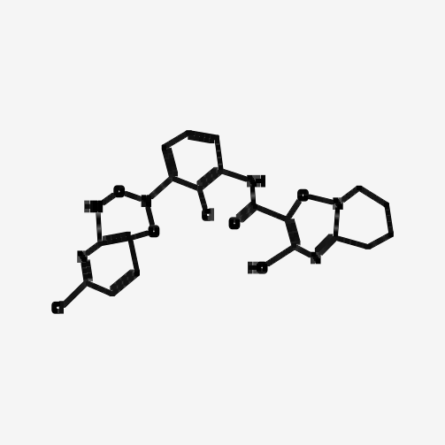 O=C(Nc1cccc(-n2o[nH]c3nc(Cl)ccc3o2)c1Cl)C1=C(O)N=C2CCCCN2O1